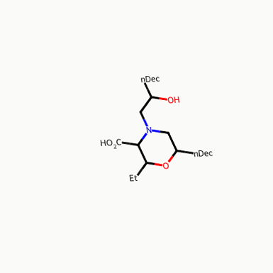 CCCCCCCCCCC(O)CN1CC(CCCCCCCCCC)OC(CC)C1C(=O)O